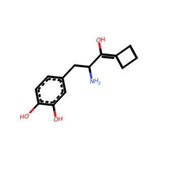 NC(Cc1ccc(O)c(O)c1)C(O)=C1CCC1